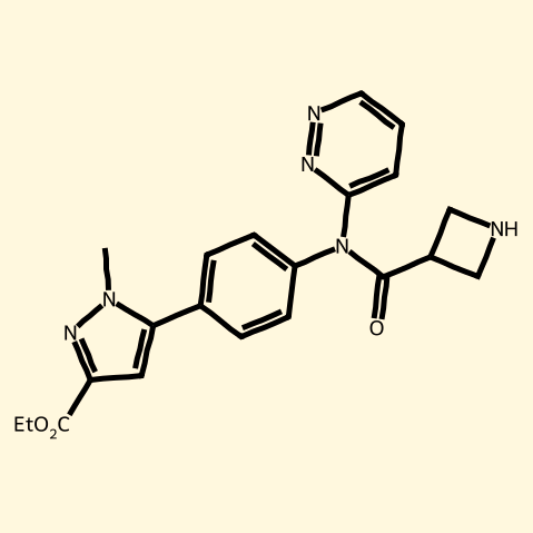 CCOC(=O)c1cc(-c2ccc(N(C(=O)C3CNC3)c3cccnn3)cc2)n(C)n1